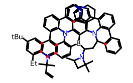 C=CC(C)(C)N(c1ccc2c(c1)N(c1c(-c3ccccc3)cccc1-c1ccccc1)c1c3c4c(c5c1B2C(N1C(C)CC1(C)C)CC(C)N5c1c(-c2ccccc2)cccc1-c1ccccc1)CCCN4CCC3)c1ccc(C(C)(C)C)cc1CC